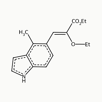 CCOC(=O)C(=Cc1ccc2[nH]ccc2c1C)OCC